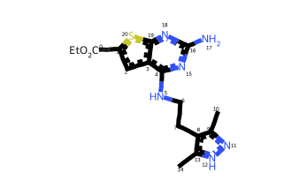 CCOC(=O)c1cc2c(NCCc3c(C)n[nH]c3C)nc(N)nc2s1